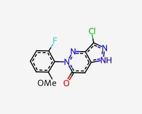 COc1cccc(F)c1-n1nc2c(Cl)n[nH]c2cc1=O